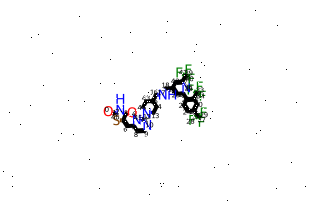 O=C1NC(=O)/C(=C\c2ccnc(N3CCC(CNCc4cc(-c5ccc(C(F)(F)F)cc5C(F)(F)F)nc(C(F)(F)F)c4)CC3)n2)S1